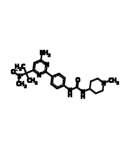 CN1CCC(NC(=O)Nc2ccc(-c3nc(N)cc(C(C)(C)[S+](C)[O-])n3)cc2)CC1